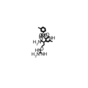 Cc1cccc(S(=O)(=O)Nc2c(C(CCONC(=N)N)C(N)=O)cc(C)[nH]c2=O)c1